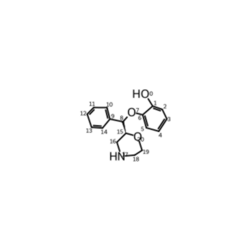 Oc1ccccc1OC(c1ccccc1)[C@@H]1CNCCO1